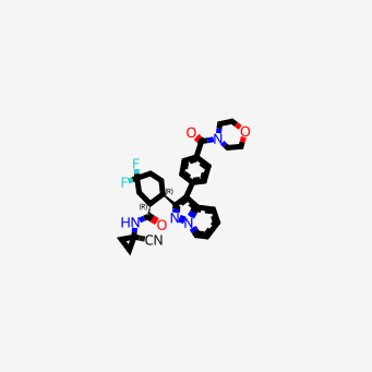 N#CC1(NC(=O)[C@@H]2CC(F)(F)CC[C@H]2c2nn3ccccc3c2-c2ccc(C(=O)N3CCOCC3)cc2)CC1